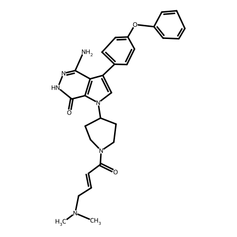 CN(C)CC=CC(=O)N1CCC(n2cc(-c3ccc(Oc4ccccc4)cc3)c3c(N)n[nH]c(=O)c32)CC1